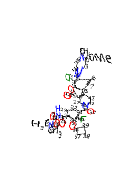 COC[C@H]1CN(c2ccc3c4c(c(=O)oc3c2Cl)CN(C(=O)c2ccc(C(=O)NS(=O)(=O)N(C)C)c(OC3CCC3)c2F)CC4)CCN1C